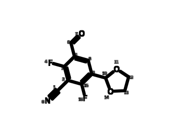 N#Cc1c(F)c(C=O)cc(C2OCCO2)c1F